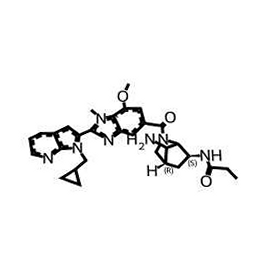 CCC(=O)N[C@H]1C[C@@H]2CN(C(=O)c3cc(OC)c4c(c3)nc(-c3cc5cccnc5n3CC3CC3)n4C)C1C2N